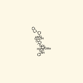 CO[C@@H]1[C@@H](OC(=O)Nc2ccccc2)[C@@H](O)[C@H](Oc2ccc3c(O)c(NC(=O)c4cccc(-c5ccc6ccccc6c5)c4)c(=O)oc3c2C)OC1(C)C